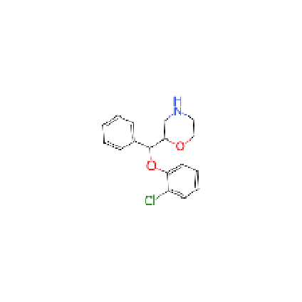 Clc1ccccc1OC(c1ccccc1)C1CNCCO1